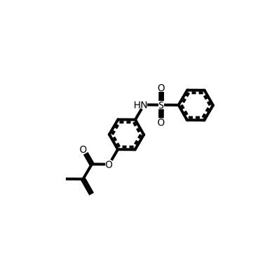 C=C(C)C(=O)Oc1ccc(NS(=O)(=O)c2ccccc2)cc1